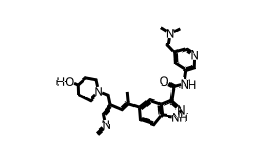 C=N/C=C(\C=C(/C)c1ccc2[nH]nc(C(=O)Nc3cncc(CN(C)C)c3)c2c1)CN1CCC(O)CC1